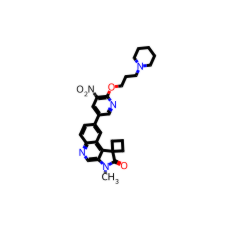 CN1C(=O)C2(CCC2)c2c1cnc1ccc(-c3cnc(OCCCN4CCCCC4)c([N+](=O)[O-])c3)cc21